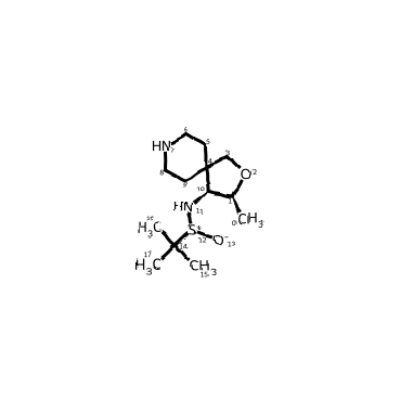 C[C@@H]1OCC2(CCNCC2)[C@@H]1N[S+]([O-])C(C)(C)C